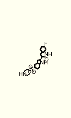 O=c1[nH]c2cc(F)ccc2cc1-c1cc2cc(S(=O)(=O)N3CCNCC3)ccc2[nH]1